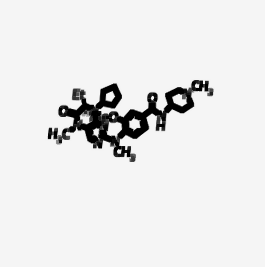 CC[C@@H]1C(=O)N(C)c2cnc(N(C)c3ccc(C(=O)NC4CCN(C)CC4)cc3OC)nc2N1C1CCCC1